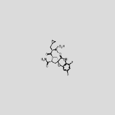 CN(C(=O)O)C(CC1CC1)C(=O)N1C[C@@]2(C[C@H]1C(N)=O)Oc1cc(F)cc(F)c1NC2=O